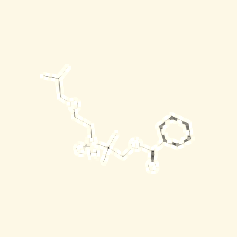 CC(C)COCC[PH](=O)C(C)(C)COC(=O)c1ccccc1